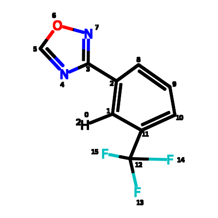 [2H]c1c(-c2ncon2)cccc1C(F)(F)F